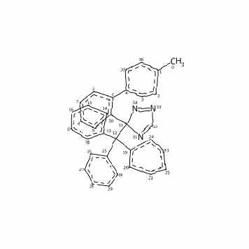 Cc1ccc(-c2ccccc2C2(C(c3ccccc3)(c3ccccc3)c3ccccc3)N=CN=N2)cc1